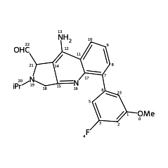 COc1cc(F)cc(-c2cccc3c(N)c4c(nc23)CN(C(C)C)C4C=O)c1